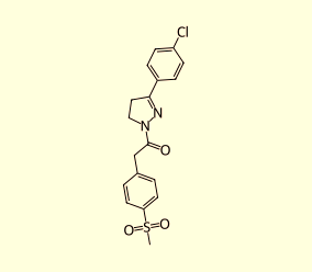 CS(=O)(=O)c1ccc(CC(=O)N2CCC(c3ccc(Cl)cc3)=N2)cc1